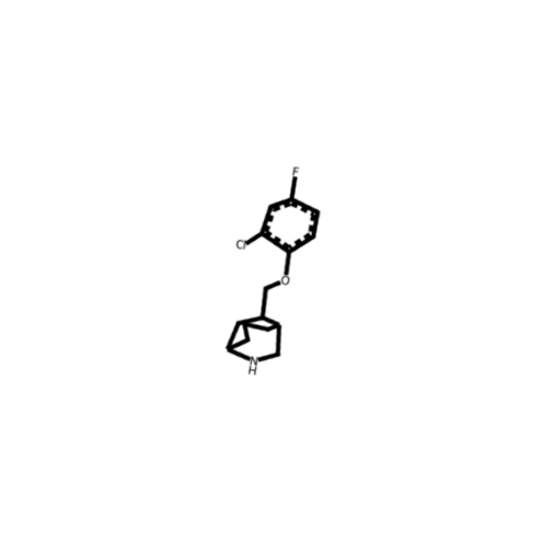 Fc1ccc(OCC2CC3CCCC2CN3)c(Cl)c1